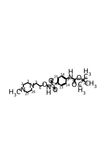 CN1CCN(CCONS(=O)(=O)c2ccc(NC(=O)OC(C)(C)C)cc2)CC1